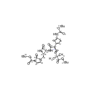 CC(C)(C)OC(=O)Nc1nc(/C(=N/OC(C)(C)C(=O)OC(C)(C)C)C(=O)N[C@@H]2C(=O)N[C@@H]2Cn2ccn(C(=O)OC(C)(C)C)c2=O)cs1